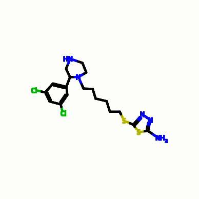 Nc1nnc(SCCCCCCN2CCNCC2c2cc(Cl)cc(Cl)c2)s1